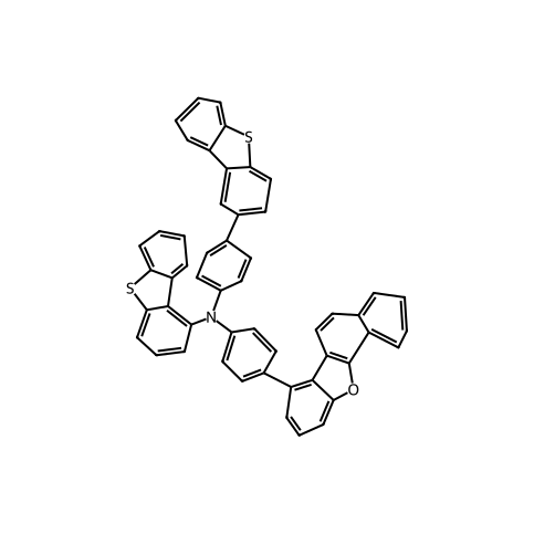 c1ccc2c(c1)ccc1c2oc2cccc(-c3ccc(N(c4ccc(-c5ccc6sc7ccccc7c6c5)cc4)c4cccc5sc6ccccc6c45)cc3)c21